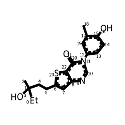 CCC(C)(O)CCc1cc2ncn(-c3ccc(O)c(C)c3)c(=O)c2s1